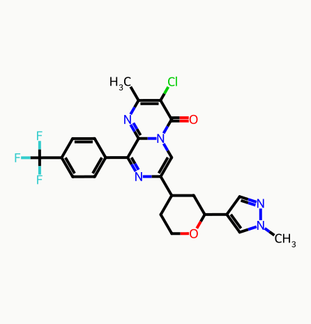 Cc1nc2c(-c3ccc(C(F)(F)F)cc3)nc(C3CCOC(c4cnn(C)c4)C3)cn2c(=O)c1Cl